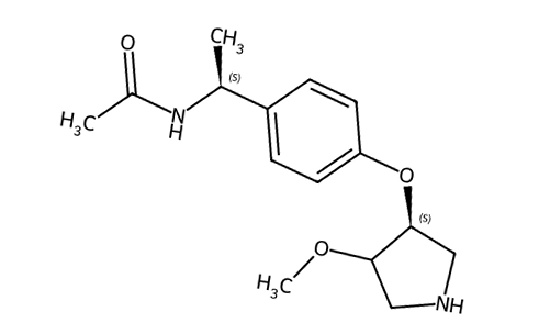 COC1CNC[C@@H]1Oc1ccc([C@H](C)NC(C)=O)cc1